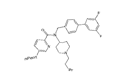 CCCCCc1ccc(C(=O)N(Cc2ccc(-c3cc(F)cc(F)c3)cc2)C2CCN(CCC(C)C)CC2)nc1